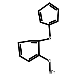 CCCOc1c[c]ccc1Sc1ccccc1